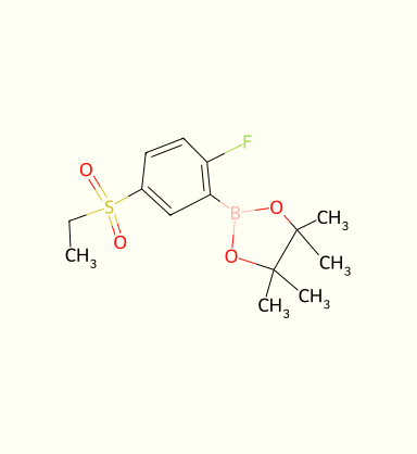 CCS(=O)(=O)c1ccc(F)c(B2OC(C)(C)C(C)(C)O2)c1